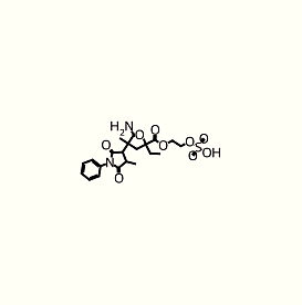 CCC(C)(CC(C)(C(N)=O)C1C(=O)N(c2ccccc2)C(=O)C1C)C(=O)OCCOS(=O)(=O)O